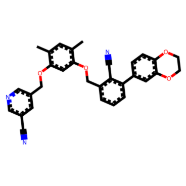 Cc1cc(C)c(OCc2cccc(-c3ccc4c(c3)OCCO4)c2C#N)cc1OCc1cncc(C#N)c1